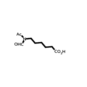 CC(=O)N(C=O)CCCCCC(=O)O